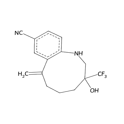 C=C1CCCC(O)(C(F)(F)F)CNc2ccc(C#N)cc21